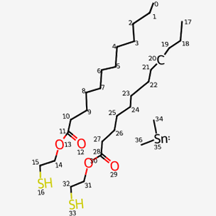 CCCCCCCCCCCC(=O)OCCS.CCCCCCCCCCCC(=O)OCCS.[CH3][Sn][CH3]